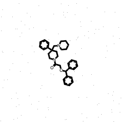 O=C(COC(c1ccccc1)c1ccccc1)N1CCC(CN2CCCCC2)(c2ccccc2)CC1